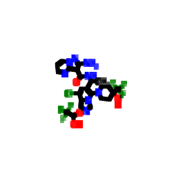 CC(NC(=O)c1c(N)nn2cccnc12)c1cc(Cl)c2cncn2c1N1CCC(O)(C(F)(F)F)CC1.O=C(O)C(F)(F)F